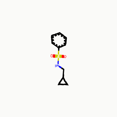 O=S(=O)(NCC1CC1)c1cc[c]cc1